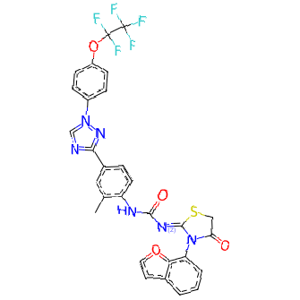 Cc1cc(-c2ncn(-c3ccc(OC(F)(F)C(F)(F)F)cc3)n2)ccc1NC(=O)/N=C1\SCC(=O)N1c1cccc2ccoc12